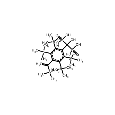 C=C(c1c([Si](C)(C)C)c([Si](C)(C)C)c(C(O)(P(=O)(O)O)P(=O)(O)O)c([Si](C)(C)C)c1[Si](C)(C)C)[Si](C)(C)C